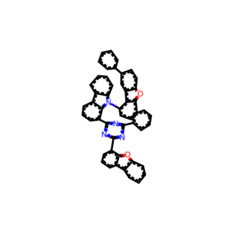 c1ccc(-c2ccc3oc4cccc(-n5c6ccccc6c6cccc(-c7nc(-c8ccccc8)nc(-c8cccc9c8oc8ccccc89)n7)c65)c4c3c2)cc1